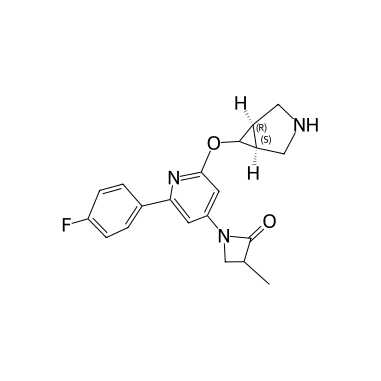 CC1CN(c2cc(OC3[C@H]4CNC[C@@H]34)nc(-c3ccc(F)cc3)c2)C1=O